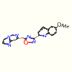 COc1ccc2nc(-c3noc(-c4cc5nccn5cn4)n3)ccc2c1